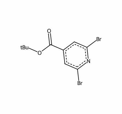 CC(C)(C)OC(=O)c1cc(Br)nc(Br)c1